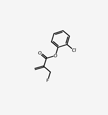 C=C(CF)C(=O)Oc1ccccc1Cl